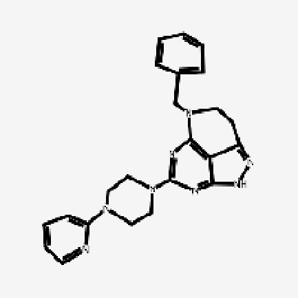 c1ccc(CN2CCc3n[nH]c4nc(N5CCN(c6ccccn6)CC5)nc2c34)cc1